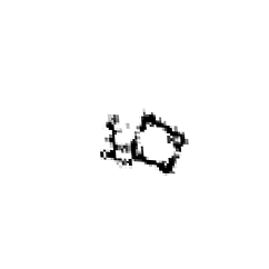 C1=Cc2cc3ccc(cc4nc(cc5ccc(cc1n2)[nH]5)C=C4)[nH]3.NCCC[C@@H](N)C(=O)O